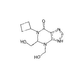 O=C1c2nc[nH]c2N(CO)C(CO)N1C1CCC1